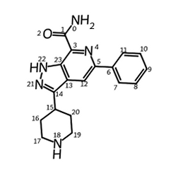 NC(=O)c1nc(-c2ccccc2)cc2c(C3CCNCC3)n[nH]c12